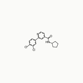 O=C(NC1CCCC1)c1ccnc(-c2ccc(Cl)c(Cl)c2)c1